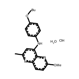 CCC(C)Oc1ccc(Nc2cc(C)nc3ccc(OC)nc23)cc1.Cl.O